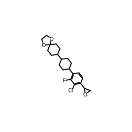 Fc1c(C2CCC(C3CCC4(CC3)OCCO4)CC2)ccc(C2CO2)c1Cl